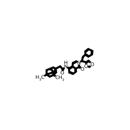 CC12CC3CC(C)(C1)CC(CC(=O)Nc1cccc4c(=O)n(C(Cc5ccccc5)C5=COCO5)ccc14)(C3)C2